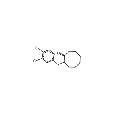 O=C1CCCCCCC1Cc1ccc(Cl)c(Cl)c1